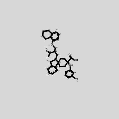 O=C(O)C1(Nc2cccc(Cl)c2)CCC2(CC1)c1ccccc1CC2CC(COc1ccnc2c1CCCC2)C(F)F